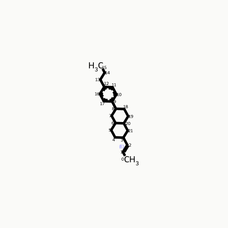 C/C=C/C1CCC2CC(c3ccc(CCC)cc3)CCC2C1